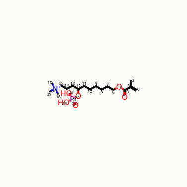 C=C(C)C(=O)OCCCCCCC(CCC[N+](C)(C)C)OP(=O)(O)O